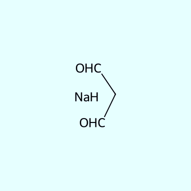 O=CCC=O.[NaH]